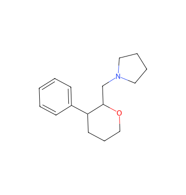 c1ccc(C2CCCOC2CN2CCCC2)cc1